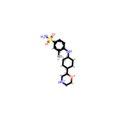 NS(=O)(=O)c1ccc(NC2CCC(C3CNCCO3)CC2)c([N+](=O)[O-])c1